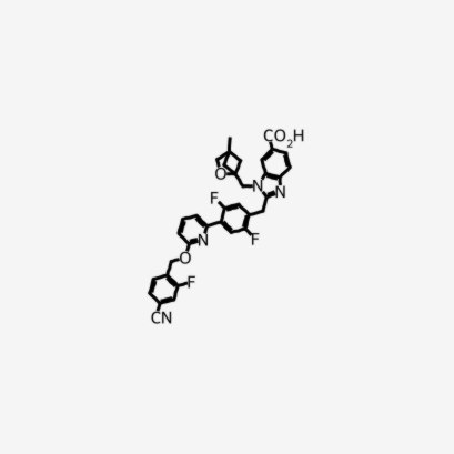 CC12COC(Cn3c(Cc4cc(F)c(-c5cccc(OCc6ccc(C#N)cc6F)n5)cc4F)nc4ccc(C(=O)O)cc43)(C1)C2